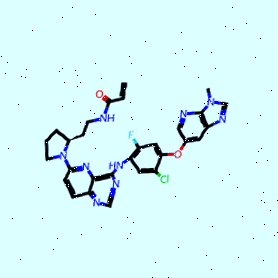 C=CC(=O)NCC[C@@H]1CCCN1c1ccc2ncnc(Nc3cc(Cl)c(Oc4cnc5c(c4)ncn5C)cc3F)c2n1